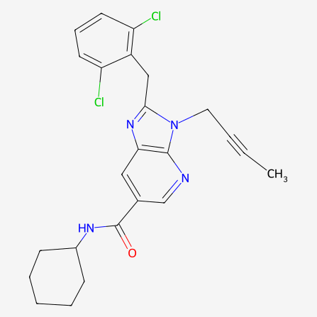 CC#CCn1c(Cc2c(Cl)cccc2Cl)nc2cc(C(=O)NC3CCCCC3)cnc21